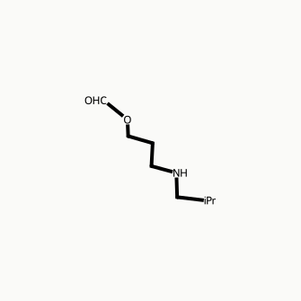 CC(C)CNCCCOC=O